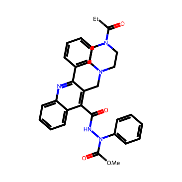 CCC(=O)N1CCN(Cc2c(-c3ccccc3)nc3ccccc3c2C(=O)NN(C(=O)OC)c2ccccc2)CC1